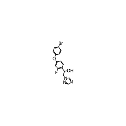 OC(Cn1cncn1)c1ccc(Oc2ccc(Br)cc2)cc1F